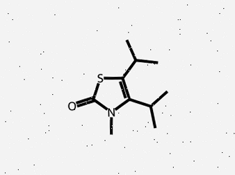 CC(C)c1sc(=O)n(C)c1C(C)C